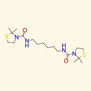 CC1(C)SCCN1C(=O)NCCCCCCNC(=O)N1CCSC1(C)C